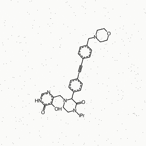 CC(C)N1CCN(Cc2nc[nH]c(=O)c2O)C(c2ccc(C#Cc3ccc(CN4CCOCC4)cc3)cc2)C1=O